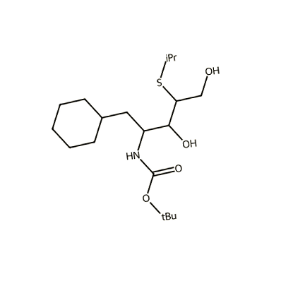 CC(C)SC(CO)C(O)C(CC1CCCCC1)NC(=O)OC(C)(C)C